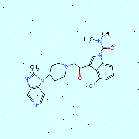 Cc1nc2cnccc2n1C1CCN(CC(=O)c2cn(C(=O)N(C)C)c3cccc(Cl)c23)CC1